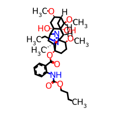 CCCCOC(=O)Nc1ccccc1C(=O)O[C@@]12CC[C@H](OC)C34C1CC(N3N(CC)[C@H]2C)[C@@]1(O)C[C@H](OC)[C@H]2C[C@H]4[C@]1(O)[C@H]2OC